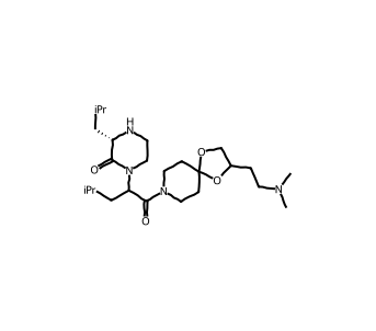 CC(C)CC(C(=O)N1CCC2(CC1)OCC(CCN(C)C)O2)N1CCN[C@@H](CC(C)C)C1=O